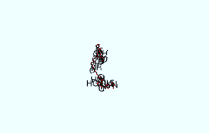 Cc1ncsc1-c1ccc(CNC(=O)[C@@H]2C[C@@H](O)CN2C(O)[C@@H](NC(=O)CCCCCCC(=O)NCc2ccc(COCC(NC(=O)c3ccn(S(C)(=O)=O)c3)C(=O)Nc3nc(-c4ccccc4)cs3)cc2)C(C)(C)C)cc1